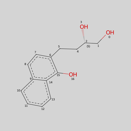 OC[C@@H](O)CCc1ccc2ccccc2c1O